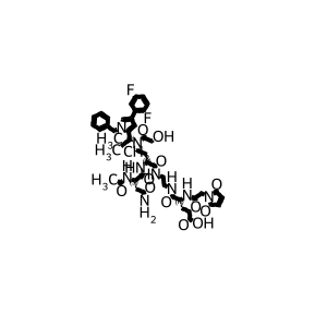 CC(=O)N[C@@H](CC(N)=O)C(=O)N[C@@H](CCN(C(=O)CO)[C@@H](c1cc(-c2cc(F)ccc2F)cn1Cc1ccccc1)C(C)(C)C)C(=O)NCCNC(=O)[C@@H](CCC(=O)O)NC(=O)CN1C(=O)C=CC1=O